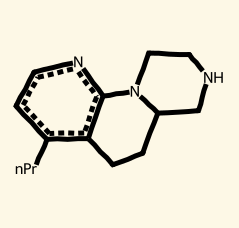 CCCc1ccnc2c1CCC1CNCCN21